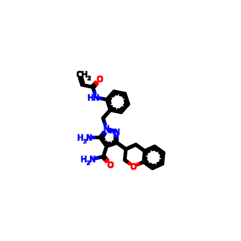 C=CC(=O)Nc1ccccc1Cn1nc(C2COc3ccccc3C2)c(C(N)=O)c1N